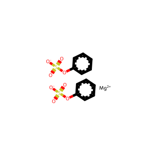 O=S(=O)([O-])Oc1ccccc1.O=S(=O)([O-])Oc1ccccc1.[Mg+2]